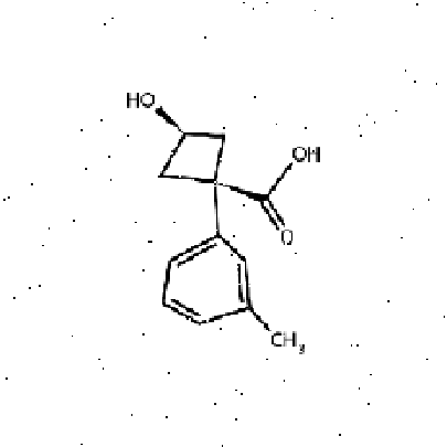 Cc1cccc([C@]2(C(=O)O)C[C@@H](O)C2)c1